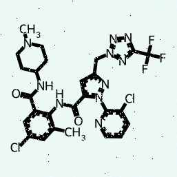 Cc1cc(Cl)cc(C(=O)NC2CCN(C)CC2)c1NC(=O)c1cc(Cn2nnc(C(F)(F)F)n2)nn1-c1ncccc1Cl